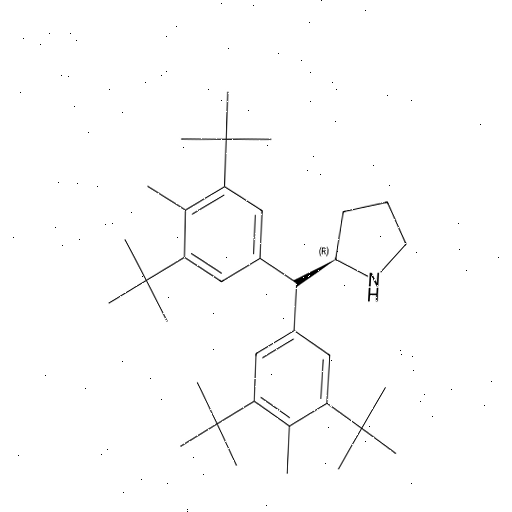 Cc1c(C(C)(C)C)cc(C(c2cc(C(C)(C)C)c(C)c(C(C)(C)C)c2)[C@H]2CCCN2)cc1C(C)(C)C